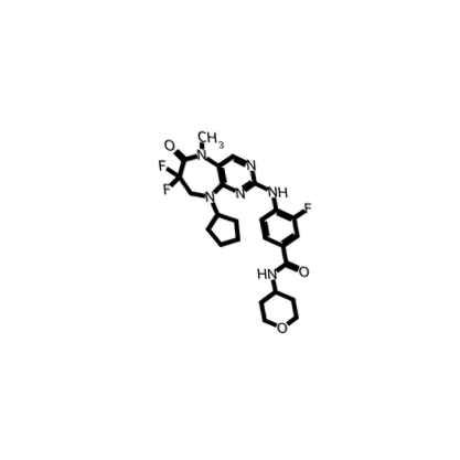 CN1C(=O)C(F)(F)CN(C2CCCC2)c2nc(Nc3ccc(C(=O)NC4CCOCC4)cc3F)ncc21